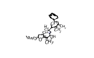 CO[C@@H]1C[C@@H](C)[C@H]([C@@H](C)[C@H](O)/C=C/[C@H](C)C(C)[C@H](C)[C@@H](C)CCc2ccccc2)O1